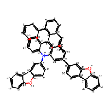 c1ccc(-c2cccc3cccc(-c4ccccc4N(c4cccc(-c5ccc6c(c5)oc5ccccc56)c4)c4ccc5oc6ccccc6c5c4)c23)cc1